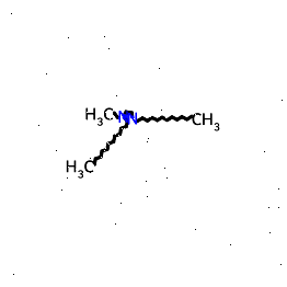 CCCCCCCCCCCCCN1C=CN(CCC)C1CCCCCCCCCCCC